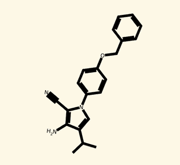 CC(C)c1cn(-c2ccc(OCc3ccccc3)cc2)c(C#N)c1N